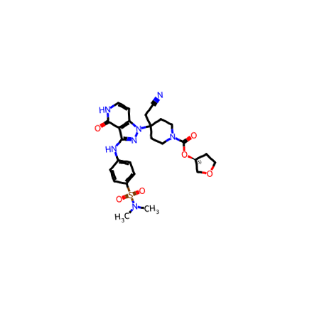 CN(C)S(=O)(=O)c1ccc(Nc2nn(C3(CC#N)CCN(C(=O)O[C@H]4CCOC4)CC3)c3cc[nH]c(=O)c23)cc1